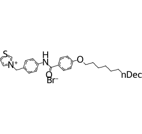 CCCCCCCCCCCCCCCCOc1ccc(C(=O)Nc2ccc(C[n+]3ccsc3)cc2)cc1.[Br-]